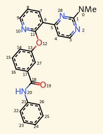 CNc1nccc(-c2cccnc2Oc2cccc(C(=O)Nc3ccccc3)c2)n1